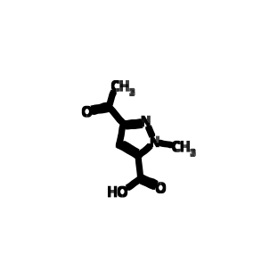 CC(=O)c1cc(C(=O)O)n(C)n1